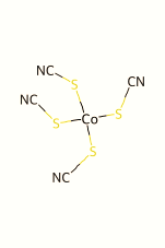 N#C[S][Co]([S]C#N)([S]C#N)[S]C#N